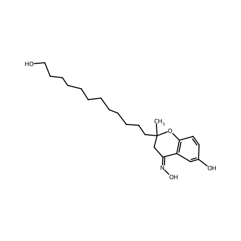 CC1(CCCCCCCCCCCCO)C/C(=N/O)c2cc(O)ccc2O1